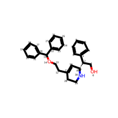 OCC(c1ccccc1)[C@H]1C=C(CCOC(c2ccccc2)c2ccccc2)CCN1